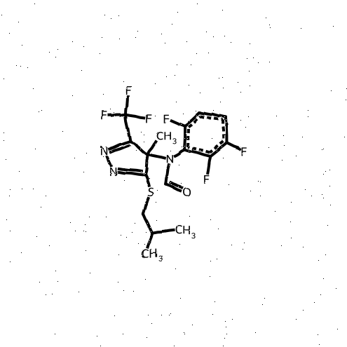 CC(C)CSC1=NN=C(C(F)(F)F)C1(C)N(C=O)c1c(F)ccc(F)c1F